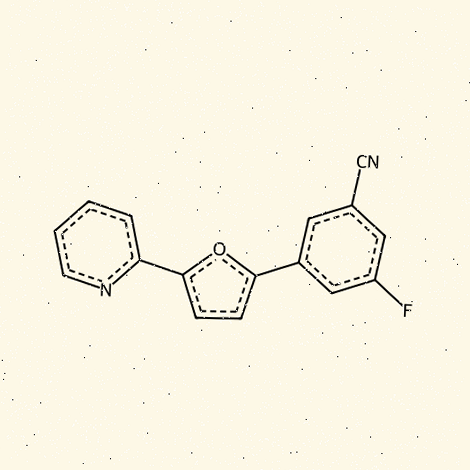 N#Cc1cc(F)cc(-c2ccc(-c3ccccn3)o2)c1